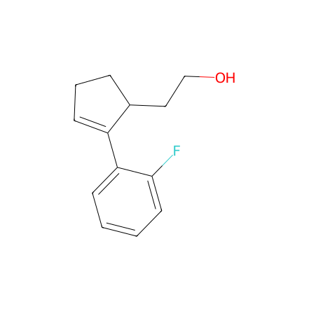 OCCC1CCC=C1c1ccccc1F